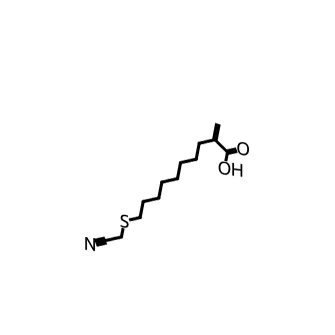 C=C(CCCCCCCCSCC#N)C(=O)O